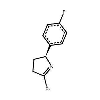 CCC1=N[C@H](c2ccc(F)cc2)CC1